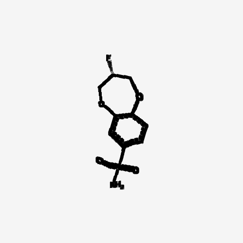 NS(=O)(=O)c1ccc2c(c1)OC[C@H](F)CO2